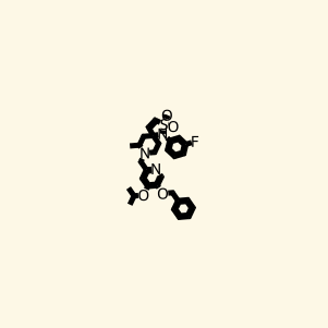 CC(C)Oc1cc(CN2CCC3(C=CS(=O)(=O)N3c3cccc(F)c3)CC2C)ncc1OCc1ccccc1